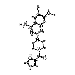 COc1cc2nc(N3CCN(C(=O)c4ccco4)CC3)nc(N)c2cc1Cl